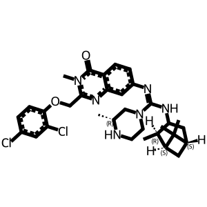 C[C@@H]1CN(C(=Nc2ccc3c(=O)n(C)c(COc4ccc(Cl)cc4Cl)nc3c2)NC2C[C@@H]3C[C@@H]([C@H]2C)C3(C)C)CCN1